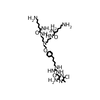 Cc1nc(N)c(C(=O)NC(=N)NCCCCc2ccc(OCCN(CCCNC(=O)[C@@H](N)CCCCN)CCCNC(=O)[C@@H](N)CCCCN)cc2)nc1Cl